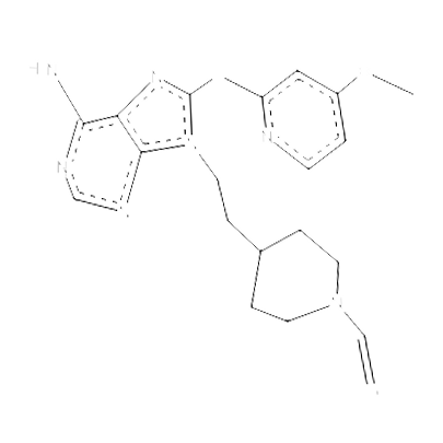 COc1ccnc(Sc2nc3c(N)ncnc3n2CCC2CCN(C=O)CC2)c1